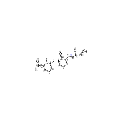 Cc1c(Cn2cccc(/C=C/C(=O)NO)c2=O)cccc1[N+](=O)[O-]